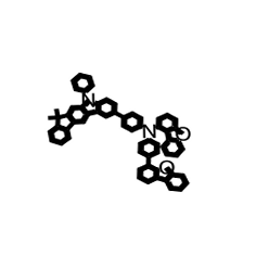 CC1(C)c2ccccc2-c2cc3c4cc(-c5ccc(N(c6ccc(-c7cccc8c7oc7ccccc78)cc6)c6cccc7oc8ccccc8c67)cc5)ccc4n(-c4ccccc4)c3cc21